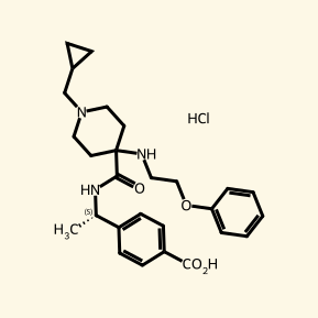 C[C@H](NC(=O)C1(NCCOc2ccccc2)CCN(CC2CC2)CC1)c1ccc(C(=O)O)cc1.Cl